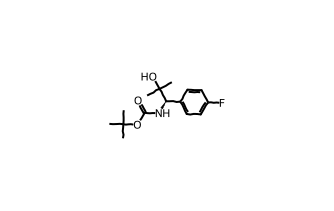 CC(C)(C)OC(=O)N[C@H](c1ccc(F)cc1)C(C)(C)O